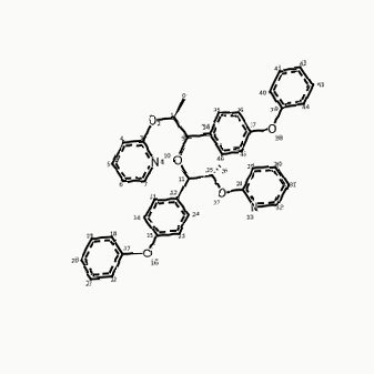 C[C@H](Oc1ccccn1)C(OC(c1ccc(Oc2ccccc2)cc1)[C@H](C)Oc1ccccn1)c1ccc(Oc2ccccc2)cc1